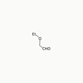 [CH2]COCC=O